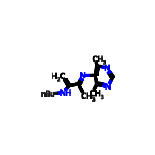 C=C(NCCCC)/C(C)=N/c1c(C)ncnc1C